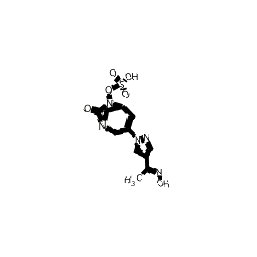 C/C(=N\O)c1cnn(C2=CC3CN(C2)C(=O)N3OS(=O)(=O)O)c1